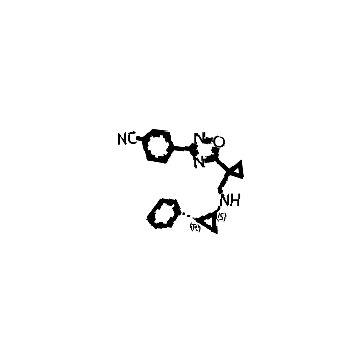 N#Cc1ccc(-c2noc(C3(CN[C@H]4C[C@@H]4c4ccccc4)CC3)n2)cc1